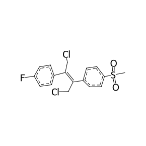 CS(=O)(=O)c1ccc(C(CCl)=C(CCl)c2ccc(F)cc2)cc1